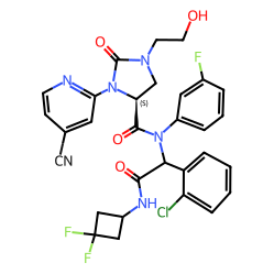 N#Cc1ccnc(N2C(=O)N(CCO)C[C@H]2C(=O)N(c2cccc(F)c2)C(C(=O)NC2CC(F)(F)C2)c2ccccc2Cl)c1